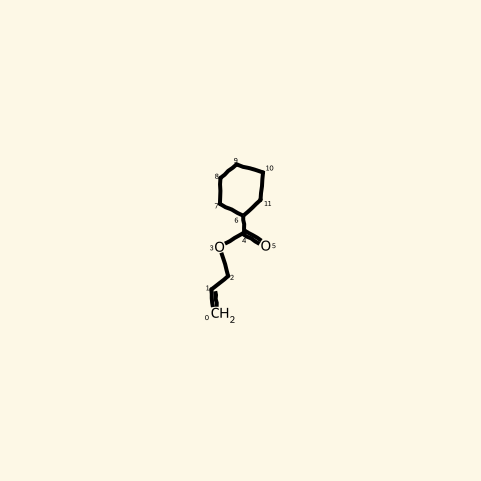 C=CCOC(=O)C1CCCCC1